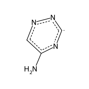 Nc1cnn[c]n1